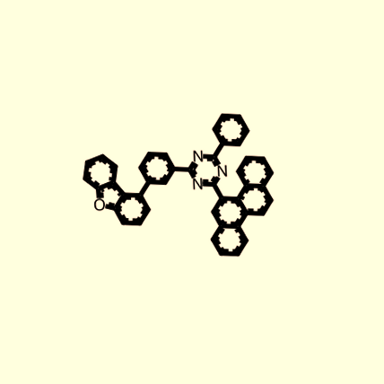 c1ccc(-c2nc(-c3cccc(-c4cccc5oc6ccccc6c45)c3)nc(-c3cc4ccccc4c4ccc5ccccc5c34)n2)cc1